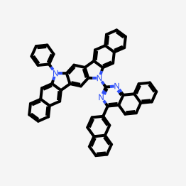 c1ccc(-n2c3cc4ccccc4cc3c3cc4c(cc32)c2cc3ccccc3cc2n4-c2nc(-c3ccc4ccccc4c3)c3ccc4ccccc4c3n2)cc1